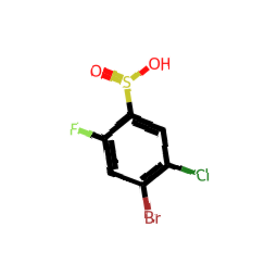 O=S(O)c1cc(Cl)c(Br)cc1F